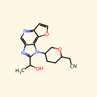 CC(O)c1nc2cnc3ccoc3c2n1C1CCC(CC#N)OC1